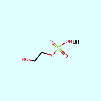 O=S(=O)(O)OCCO.[LiH]